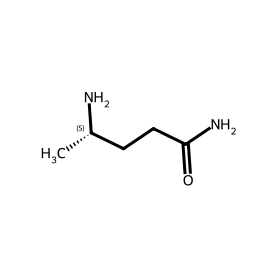 C[C@H](N)CCC(N)=O